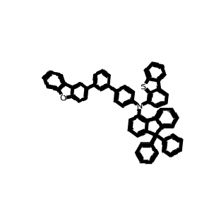 c1ccc(C2(c3ccccc3)c3ccccc3-c3c(N(c4ccc(-c5cccc(-c6ccc7oc8ccccc8c7c6)c5)cc4)c4cccc5c4sc4ccccc45)cccc32)cc1